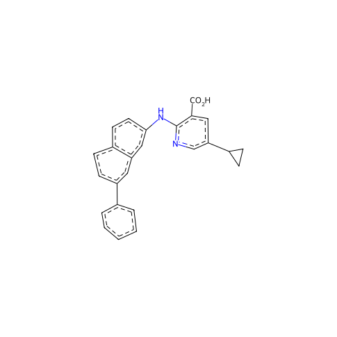 O=C(O)c1cc(C2CC2)cnc1Nc1ccc2ccc(-c3ccccc3)cc2c1